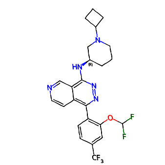 FC(F)Oc1cc(C(F)(F)F)ccc1-c1nnc(N[C@@H]2CCCN(C3CCC3)C2)c2cnccc12